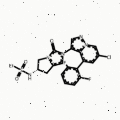 CCS(=O)(=O)N[C@H]1Cc2cn(-c3cnn4cc(Cl)cc(-c5c(F)cccc5F)c34)c(=O)n2C1